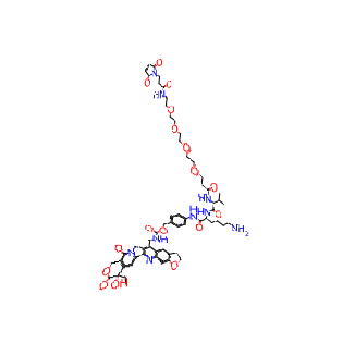 CC[C@@]1(O)C(=O)OCc2c1cc1n(c2=O)Cc2c-1nc1cc3c(cc1c2CNC(=O)OCc1ccc(NC(=O)[C@H](CCCCN)NC(=O)[C@@H](NC(=O)CCOCCOCCOCCOCCNC(=O)CCN2C(=O)C=CC2=O)C(C)C)cc1)CCO3